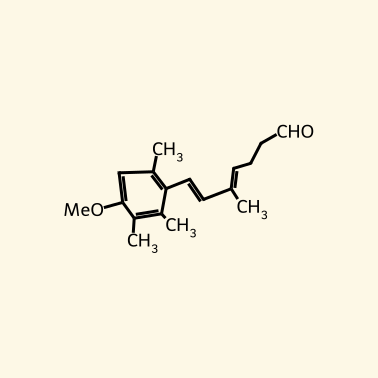 COc1cc(C)c(C=CC(C)=CCCC=O)c(C)c1C